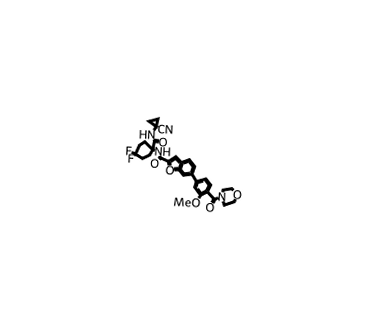 COc1cc(-c2ccc3cc(C(=O)NC4(C(=O)NC5(C#N)CC5)CCC(F)(F)CC4)oc3c2)ccc1C(=O)N1CCOCC1